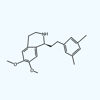 COc1cc2c(cc1OC)[C@H](CCc1cc(C)cc(C)c1)NCC2